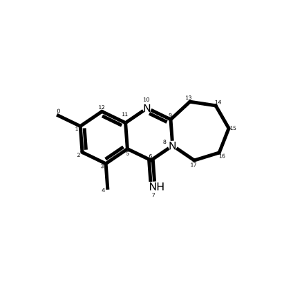 Cc1cc(C)c2c(=N)n3c(nc2c1)CCCCC3